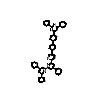 c1ccc(-c2cc(-c3ccccc3)nc(-c3cc(-c4ccccc4)cc(-c4ccc(-c5ccc(-c6ccc(-c7cc(-c8ccccc8)nc(-c8ccccc8)n7)cc6)cc5)cn4)n3)c2)cc1